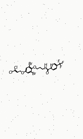 O=C(NCCCOc1c(Br)cc(OCC=C(Cl)Cl)cc1Br)c1ccc(C(F)(F)F)cn1